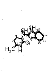 C=C1CCC(N(C)c2nc3ccccc3n2C)C(=O)N1